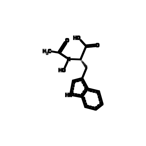 CC(=O)N(O)[C@@H](Cc1c[nH]c2ccccc12)C(=O)O